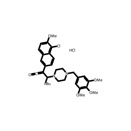 CCCCC(C(=C=O)c1ccc2c(Cl)c(OC)ccc2c1)N1CCN(Cc2cc(OC)c(OC)c(OC)c2)CC1.Cl